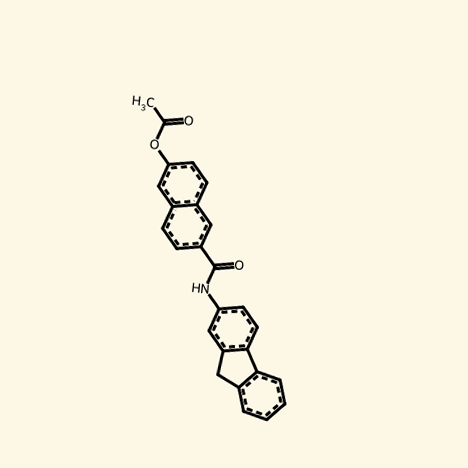 CC(=O)Oc1ccc2cc(C(=O)Nc3ccc4c(c3)Cc3ccccc3-4)ccc2c1